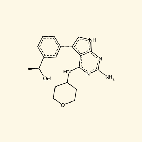 C[C@H](O)c1cccc(-c2c[nH]c3nc(N)nc(NC4CCOCC4)c23)c1